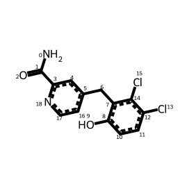 NC(=O)c1cc(Cc2c(O)ccc(Cl)c2Cl)ccn1